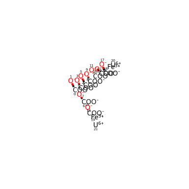 O=C([O-])[O-].O=C([O-])[O-].O=C([O-])[O-].O=C([O-])[O-].O=C([O-])[O-].O=C([O-])[O-].O=C([O-])[O-].O=C([O-])[O-].O=C([O-])[O-].[Fe+3].[Fe+3].[U+6].[U+6]